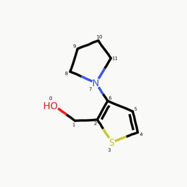 OCc1sccc1N1CCCC1